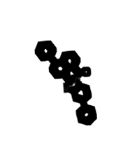 O=c1c2cccc3c(-c4ccccc4)ccc(c4n1C1C=CC(c5ccccc5)=CC1N=4)c32